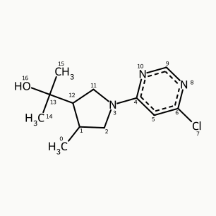 CC1CN(c2cc(Cl)ncn2)CC1C(C)(C)O